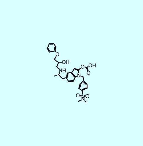 C[C@H](Cc1ccc2c(c1)cc(OC(=O)O)n2Cc1ccc(S(=O)(=O)N(C)C)cc1)NC[C@H](O)COc1ccccc1